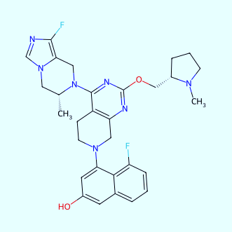 C[C@@H]1Cn2cnc(F)c2CN1c1nc(OC[C@@H]2CCCN2C)nc2c1CCN(c1cc(O)cc3cccc(F)c13)C2